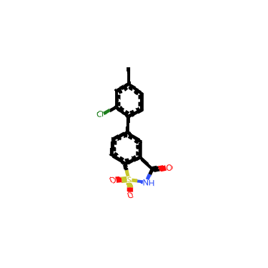 Cc1ccc(-c2ccc3c(c2)C(=O)NS3(=O)=O)c(Cl)c1